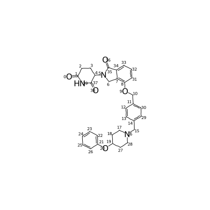 O=C1CCC(N2Cc3c(OCc4ccc(CN5CCC(Oc6ccccc6)CC5)cc4)cccc3C2=O)C(=O)N1